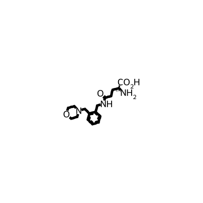 N[C@@H](CCC(=O)NCc1ccccc1CN1CCOCC1)C(=O)O